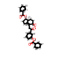 C[C@]12CCC(=O)C(CC(=O)c3cccc(OC(=O)c4ccccc4)c3)=C1CC[C@@H]2OC(=O)c1ccccc1